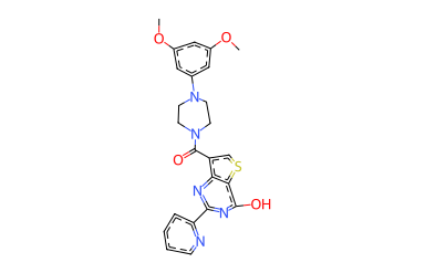 COc1cc(OC)cc(N2CCN(C(=O)c3csc4c(O)nc(-c5ccccn5)nc34)CC2)c1